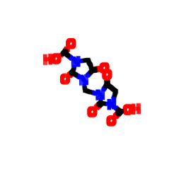 O=C(O)N1CC(=O)N(CN2C(=O)CN(C(=O)O)C2=O)C1=O